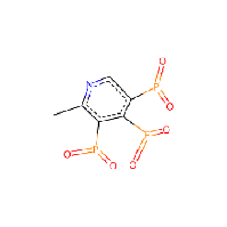 Cc1ncc(P(=O)=O)c(P(=O)=O)c1P(=O)=O